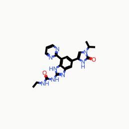 CCNC(=O)Nc1nc2cc(-c3cn(C(C)C)c(=O)[nH]3)cc(-c3ncccn3)c2[nH]1